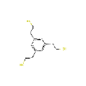 SCCc1cc(CCS)cc(CCS)c1